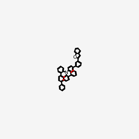 c1ccc(-c2ccc(-c3ccccc3N(c3ccc(-c4cccc(-c5cc6ccccc6o5)c4)cc3)c3ccccc3-c3ccccc3)cc2)cc1